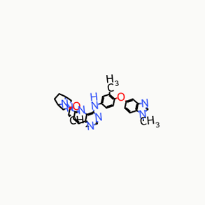 C=CC(=O)N1C2CCC1CN(c1ccc3ncnc(Nc4ccc(Oc5ccc6c(c5)ncn6C)c(C)c4)c3n1)C2